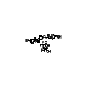 O=C(O)C(F)(F)F.O=C(O)C(F)(F)F.OCC1CCN(CC(O)COc2ccc(-c3nc4cc(Br)cnc4[nH]3)cc2)CC1